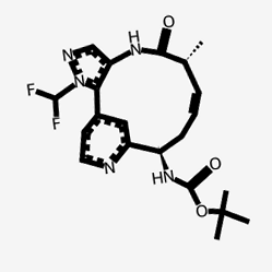 C[C@@H]1/C=C\C[C@@H](NC(=O)OC(C)(C)C)c2cc(ccn2)-c2c(cnn2C(F)F)NC1=O